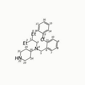 CCC(CC)CN(Cc1ccccc1Oc1ccccc1)C1CCNCC1